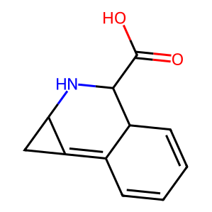 O=C(O)C1NC2CC2=C2C=CC=CC21